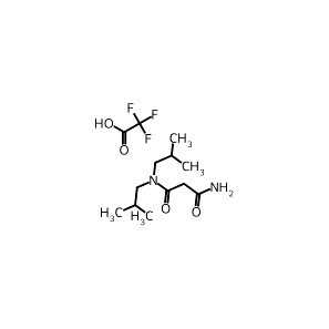 CC(C)CN(CC(C)C)C(=O)CC(N)=O.O=C(O)C(F)(F)F